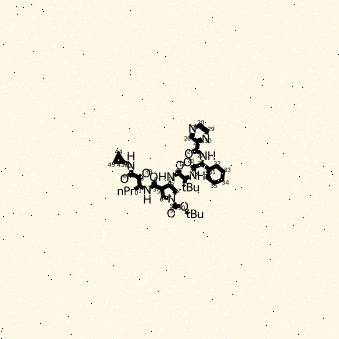 CCCC(NC(=O)C1CN(C(=O)OC(C)(C)C)C[C@@H]1NC(=O)C(NC(=O)[C@@H](NC(=O)c1cnccn1)C1CCCCC1)C(C)(C)C)C(=O)C(=O)NC1CC1